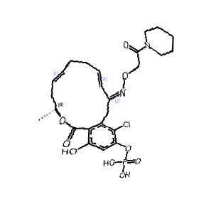 C[C@@H]1C/C=C/CC/C=C/C(=N\OCC(=O)N2CCCCC2)Cc2c(Cl)c(OP(=O)(O)O)cc(O)c2C(=O)O1